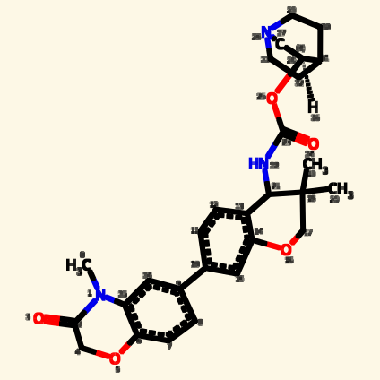 CN1C(=O)COc2ccc(-c3ccc4c(c3)OCC(C)(C)C4NC(=O)O[C@H]3CN4CCC3CC4)cc21